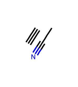 C#C.CC#N